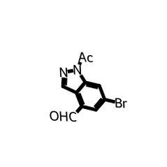 CC(=O)n1ncc2c(C=O)cc(Br)cc21